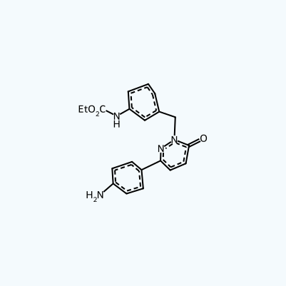 CCOC(=O)Nc1cccc(Cn2nc(-c3ccc(N)cc3)ccc2=O)c1